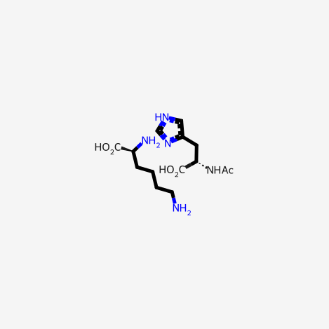 CC(=O)N[C@@H](Cc1c[nH]cn1)C(=O)O.NCCCC[C@H](N)C(=O)O